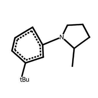 CC1CCCN1c1cccc(C(C)(C)C)c1